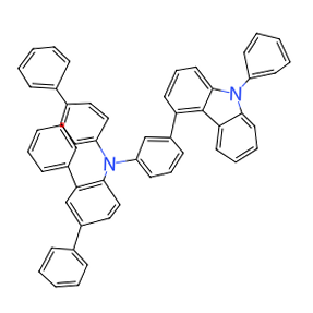 c1ccc(-c2ccc(N(c3cccc(-c4cccc5c4c4ccccc4n5-c4ccccc4)c3)c3ccc(-c4ccccc4)cc3-c3ccccc3)cc2)cc1